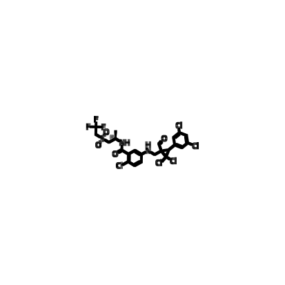 C[C@H](CS(=O)(=O)CC(F)(F)F)NC(=O)c1cc(NCC2(C=O)C(c3cc(Cl)cc(Cl)c3)C2(Cl)Cl)ccc1Cl